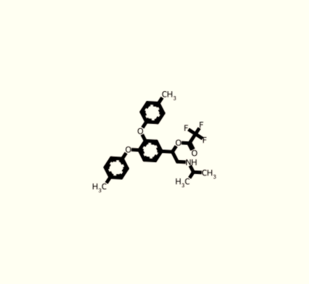 Cc1ccc(Oc2ccc(C(CNC(C)C)OC(=O)C(F)(F)F)cc2Oc2ccc(C)cc2)cc1